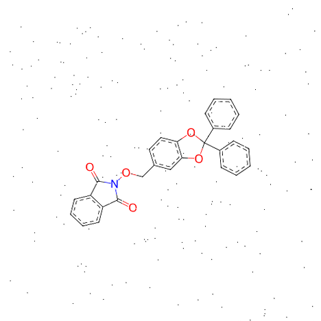 O=C1c2ccccc2C(=O)N1OCc1ccc2c(c1)OC(c1ccccc1)(c1ccccc1)O2